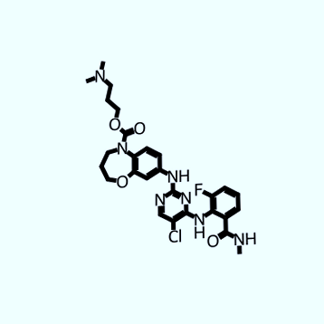 CNC(=O)c1cccc(F)c1Nc1nc(Nc2ccc3c(c2)OCCCN3C(=O)OCCCN(C)C)ncc1Cl